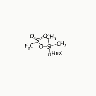 CCCCCC[Si](C)(C)OS(=O)(=O)C(F)(F)F